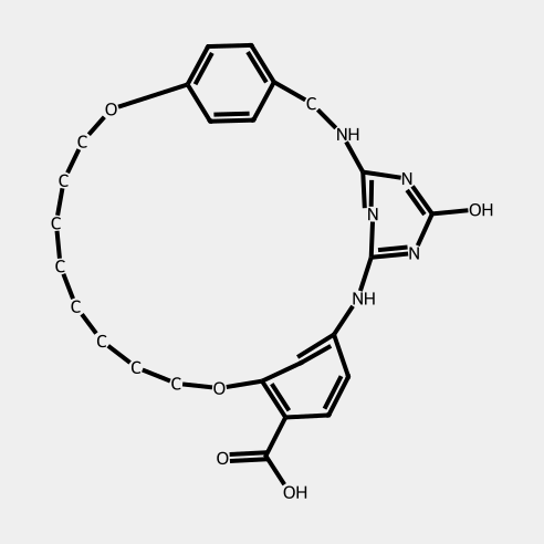 O=C(O)c1ccc2cc1OCCCCCCCCOc1ccc(cc1)CNc1nc(O)nc(n1)N2